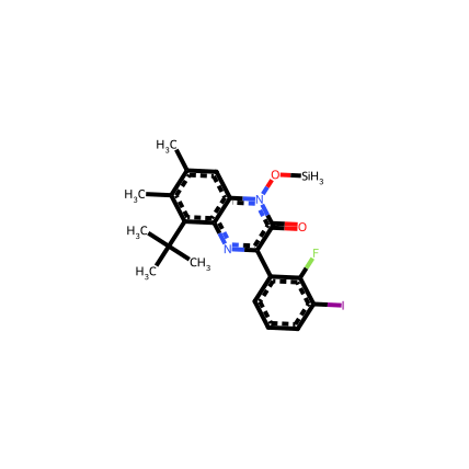 Cc1cc2c(nc(-c3cccc(I)c3F)c(=O)n2O[SiH3])c(C(C)(C)C)c1C